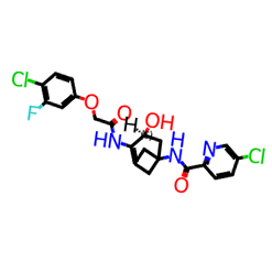 O=C(COc1ccc(Cl)c(F)c1)NC1=C2CC(NC(=O)c3ccc(Cl)cn3)(C2)C[C@@H]1O